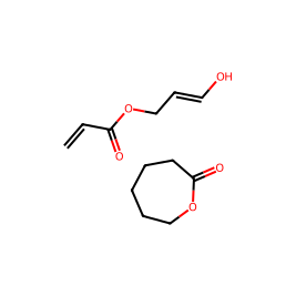 C=CC(=O)OCC=CO.O=C1CCCCCO1